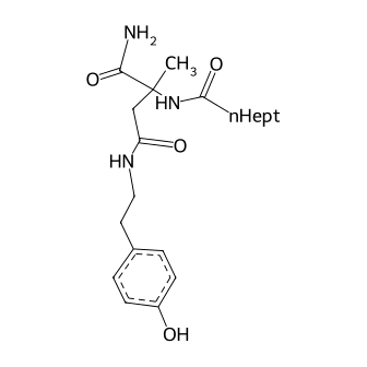 CCCCCCCC(=O)NC(C)(CC(=O)NCCc1ccc(O)cc1)C(N)=O